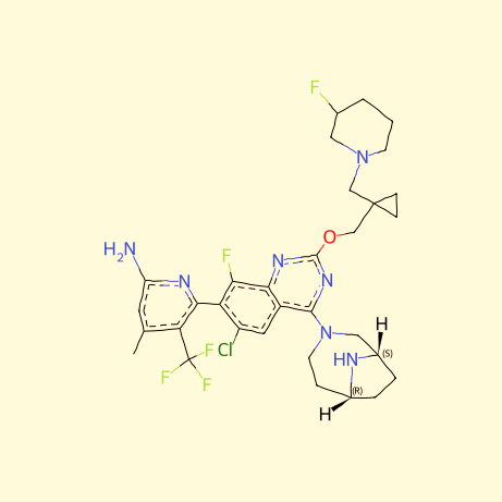 Cc1cc(N)nc(-c2c(Cl)cc3c(N4CC[C@H]5CC[C@@H](C4)N5)nc(OCC4(CN5CCCC(F)C5)CC4)nc3c2F)c1C(F)(F)F